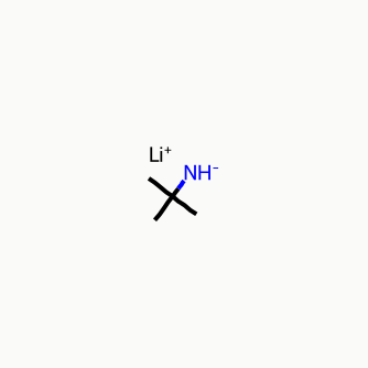 CC(C)(C)[NH-].[Li+]